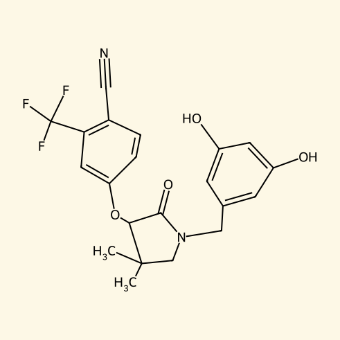 CC1(C)CN(Cc2cc(O)cc(O)c2)C(=O)C1Oc1ccc(C#N)c(C(F)(F)F)c1